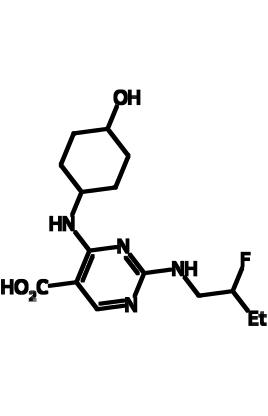 CCC(F)CNc1ncc(C(=O)O)c(NC2CCC(O)CC2)n1